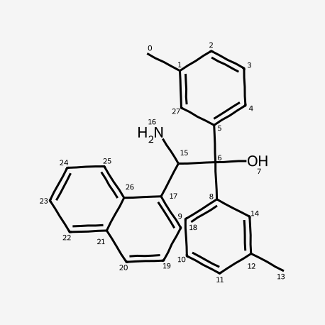 Cc1cccc(C(O)(c2cccc(C)c2)C(N)c2cccc3ccccc23)c1